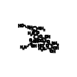 NCCN(O)C(=O)N[C@@H]1C[C@H](N)[C@@H](O[C@H]2O[C@H](CNCCO)C=C[C@H]2N)[C@H](O[C@@H]2O[C@H](CO)[C@@H](O[C@H]3O[C@@H](CN)[C@@H](O)[C@H](O)[C@H]3N)[C@H]2O)[C@H]1O